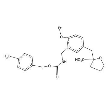 CCOc1ccc(CC2(C(=O)O)CCCO2)cc1CNC(=O)OCc1ccc(C)cc1